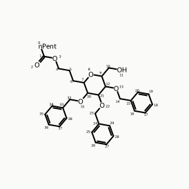 CCCCCC(=O)OCCCC1OC(CO)C(OCc2ccccc2)C(OCc2ccccc2)C1OCc1ccccc1